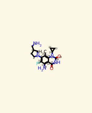 Cc1c(N2CCC(CN)C2)c(F)c(N)c2c(=O)[nH]c(=O)n(C3CC3)c12